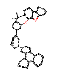 CC1(C)c2ccc(-c3cccc(-c4ccc5c6ccccc6c6ccccc6c5c4)c3)cc2Oc2c1ccc1c2oc2ccccc21